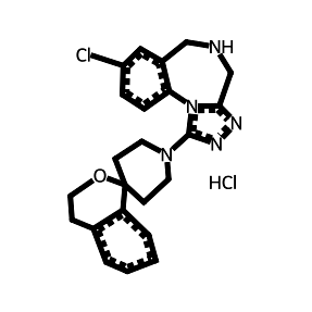 Cl.Clc1ccc2c(c1)CNCc1nnc(N3CCC4(CC3)OCCc3ccccc34)n1-2